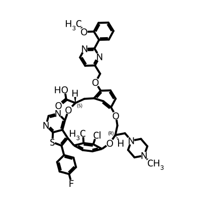 COc1ccccc1-c1nccc(COc2ccc3cc2C[C@@H](C(=O)O)Oc2ncnc4sc(-c5ccc(F)cc5)c(c24)-c2ccc(c(Cl)c2C)O[C@H](CN2CCN(C)CC2)CO3)n1